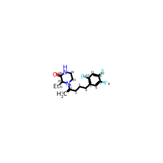 C=C(CCCc1cc(F)c(F)cc1F)N1CCNC(=O)C1CC